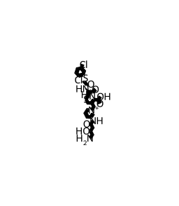 NCC(O)CC(=O)Nc1ccc[n+](CC2=C(C(=O)O)N3C(=O)[C@H](NC(=O)CSc4cc(Cl)ccc4Cl)[C@H]3SC2)c1